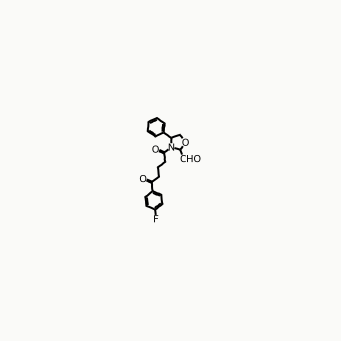 O=CC1OCC(c2ccccc2)N1C(=O)CCCC(=O)c1ccc(F)cc1